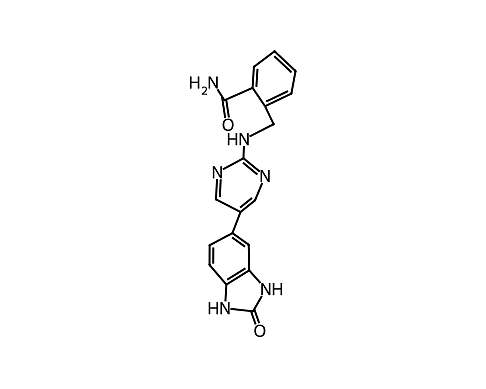 NC(=O)c1ccccc1CNc1ncc(-c2ccc3[nH]c(=O)[nH]c3c2)cn1